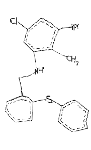 Cc1c(NCc2ccccc2Sc2ccccc2)cc(Cl)cc1C(C)C